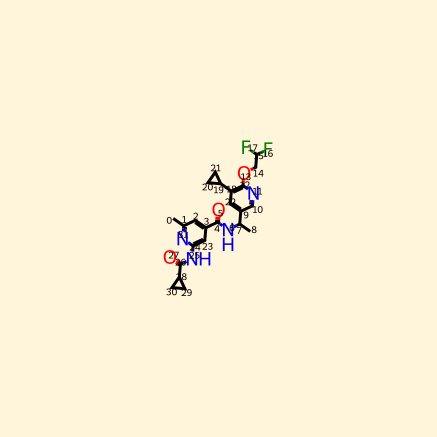 Cc1cc(C(=O)NC(C)c2cnc(OCC(F)F)c(C3CC3)c2)cc(NC(=O)C2CC2)n1